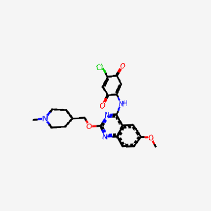 COc1ccc2nc(OCC3CCN(C)CC3)nc(NC3=CC(=O)C(Cl)=CC3=O)c2c1